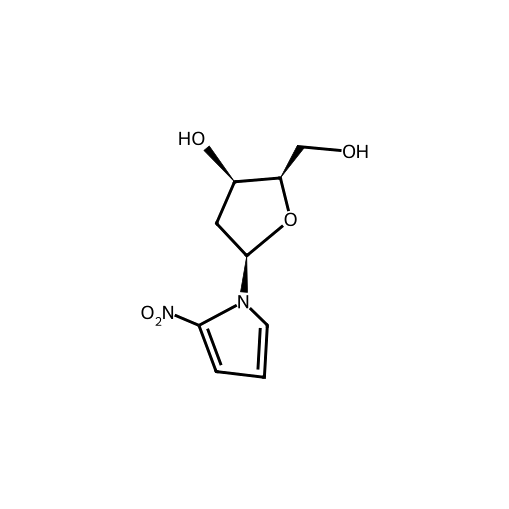 O=[N+]([O-])c1cccn1[C@H]1C[C@@H](O)[C@@H](CO)O1